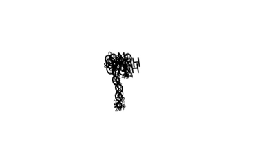 CC(=O)O[C@@H]1[C@H](OC(C)=O)[C@@H](COCCOCCOCCOCc2ccccc2)O[C@H]1n1cnc2c(=O)[nH]c(NC(=O)C(C)C)nc21